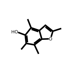 Cc1cc2c(C)c(O)c(C)c(C)c2o1